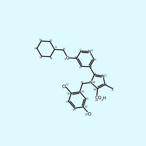 Cc1nc(-c2cncc(OCC3CCCCC3)c2)n(Cc2cc(Cl)ccc2Cl)c1C(=O)O